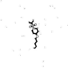 CCCCCOC1CCN(S(=O)(=O)C(C)C)CC1